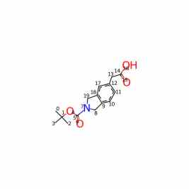 CC(C)(C)OC(=O)N1Cc2ccc(CC(=O)O)cc2C1